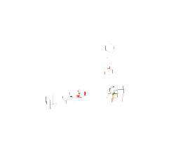 CC(C)(C)C(=O)OCCCCC1CC(O)(C(F)(F)F)[C@@]2(C)CCC3c4ccc(OCc5ccccc5)cc4CCC3C12